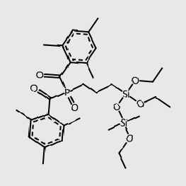 CCO[Si](C)(C)O[Si](CCCP(=O)(C(=O)c1c(C)cc(C)cc1C)C(=O)c1c(C)cc(C)cc1C)(OCC)OCC